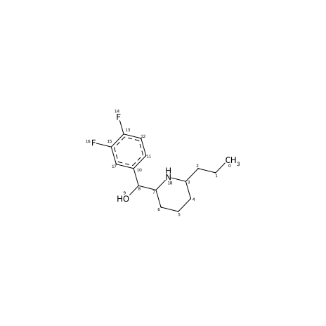 CCCC1CCCC(C(O)c2ccc(F)c(F)c2)N1